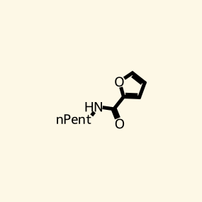 CCCCCNC(=O)c1ccco1